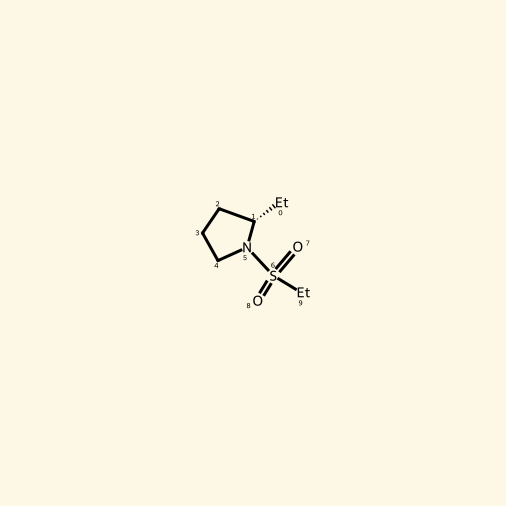 CC[C@H]1CCCN1S(=O)(=O)CC